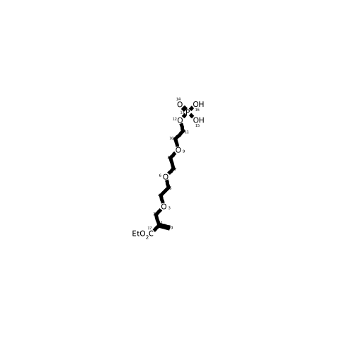 C=C(COCCOCCOCCOP(=O)(O)O)C(=O)OCC